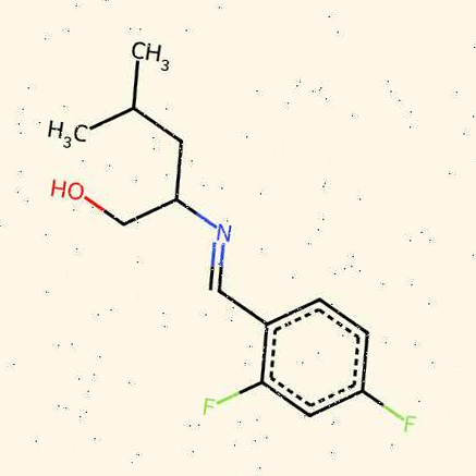 CC(C)CC(CO)/N=C/c1ccc(F)cc1F